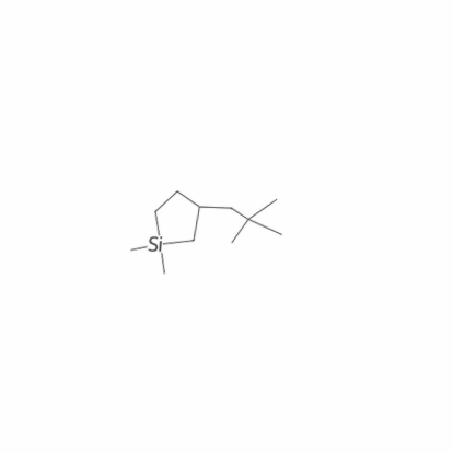 CC(C)(C)CC1CC[Si](C)(C)C1